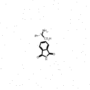 CC(C)[C@H](N)C(=O)O.O=C1NC(=O)c2ccccc21